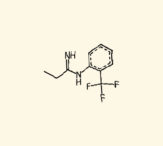 CCC(=N)Nc1ccccc1C(F)(F)F